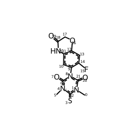 Cn1c(=S)n(C)c(=O)n(-c2cc3c(cc2F)OCC(=O)N3)c1=O